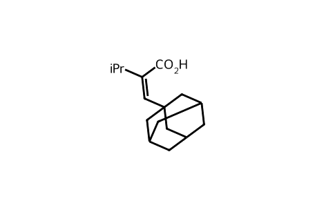 CC(C)C(=CC12CC3CC(CC(C3)C1)C2)C(=O)O